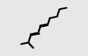 CCCCC=C/[C]=C/C(C)C